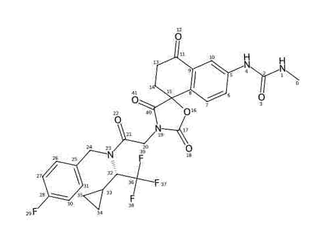 CNC(=O)Nc1ccc2c(c1)C(=O)CCC21OC(=O)N(CC(=O)N(Cc2ccc(F)cc2)[C@@H](C2CC2)C(F)(F)F)C1=O